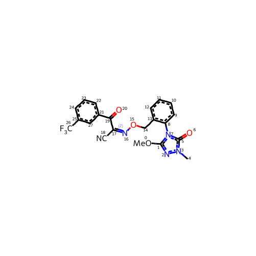 COc1nn(C)c(=O)n1-c1ccccc1CO/N=C(/C#N)C(=O)c1cccc(C(F)(F)F)c1